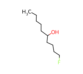 CCCCCC(O)CCCCF